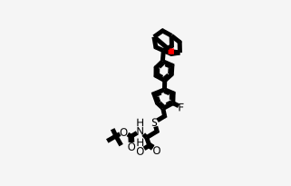 CC(C)(C)OC(=O)NC(CSCc1ccc(-c2ccc(C34CC5CC(CC(C5)C3)C4)cc2)cc1F)C(=O)O